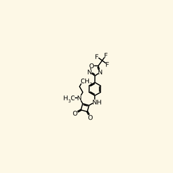 CCCN(C)c1c(Nc2ccc(-c3noc(C(F)(F)F)n3)cc2)c(=O)c1=O